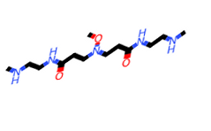 CNCCNC(=O)CCN(CCC(=O)NCCNC)OC